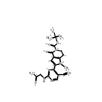 C#Cc1cnc(NCC(C)=O)nc1-c1cc2c(n1C)CCN(C(=O)OC(C)(C)C)C2=O